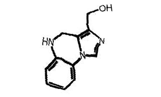 OCc1ncn2c1CNc1ccccc1-2